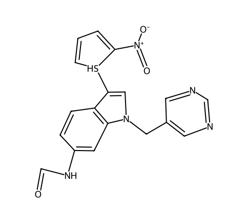 O=CNc1ccc2c([SH]3C=CC=C3[N+](=O)[O-])cn(Cc3cncnc3)c2c1